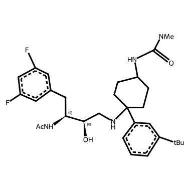 CNC(=O)NC1CCC(NC[C@@H](O)[C@H](Cc2cc(F)cc(F)c2)NC(C)=O)(c2cccc(C(C)(C)C)c2)CC1